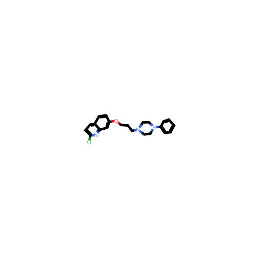 Clc1ccc2ccc(OCCCN3CCN(c4ccccc4)CC3)cc2n1